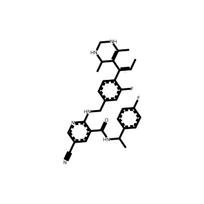 C/C=C(\C1=C(C)NCNC1C)c1ccc(CNc2ncc(C#N)cc2C(=O)NC(C)c2ccc(F)cc2)cc1F